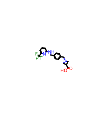 O=C(O)C1CN(Cc2ccc(CNc3cccc(C(F)(F)F)n3)cc2)C1